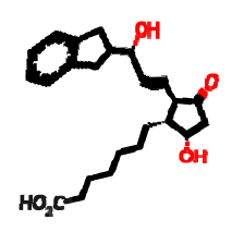 O=C(O)CCCCCC[C@H]1[C@@H](O)CC(=O)[C@@H]1C=C[C@@H](O)C1Cc2ccccc2C1